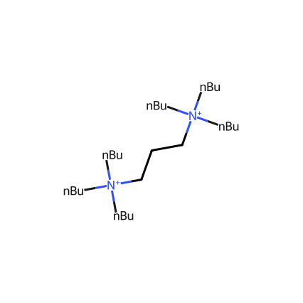 CCCC[N+](CCCC)(CCCC)CCC[N+](CCCC)(CCCC)CCCC